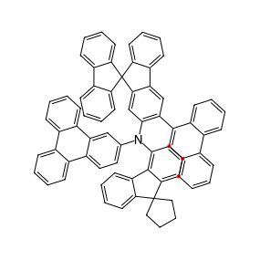 c1ccc2c(c1)-c1c(N(c3ccc4c5ccccc5c5ccccc5c4c3)c3cc4c(cc3-c3cc5ccccc5c5ccccc35)-c3ccccc3C43c4ccccc4-c4ccccc43)cccc1C21CCCC1